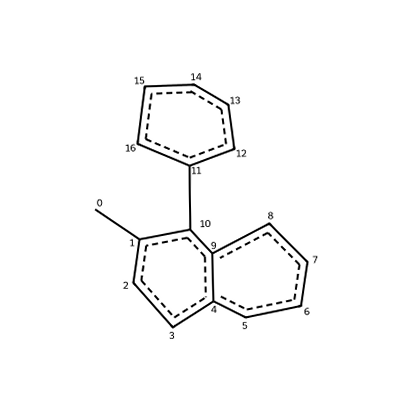 Cc1ccc2ccccc2c1-c1ccccc1